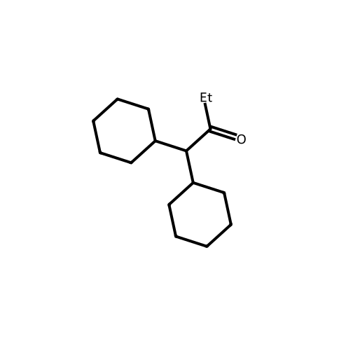 CCC(=O)C(C1CCCCC1)C1CCCCC1